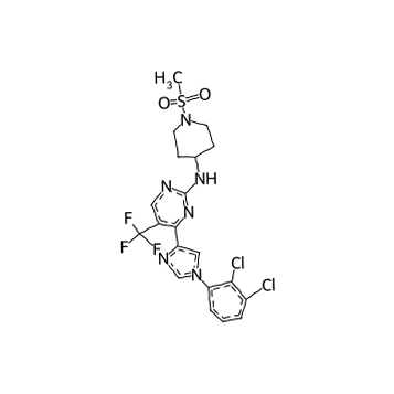 CS(=O)(=O)N1CCC(Nc2ncc(C(F)(F)F)c(-c3cn(-c4cccc(Cl)c4Cl)cn3)n2)CC1